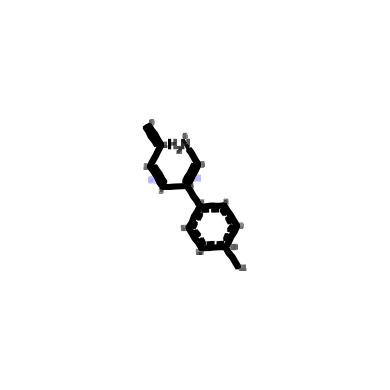 C=C/C=C\C(=C/N)c1ccc(C)cc1